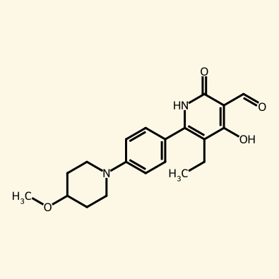 CCc1c(-c2ccc(N3CCC(OC)CC3)cc2)[nH]c(=O)c(C=O)c1O